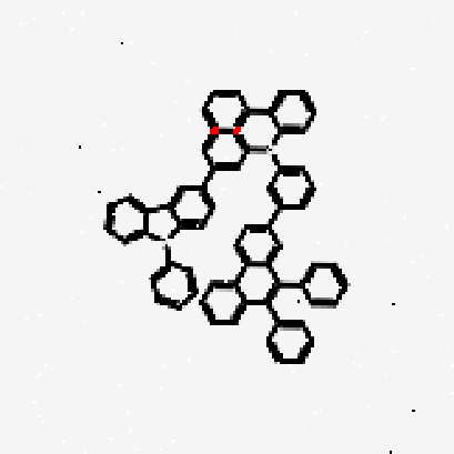 c1ccc(-c2ccccc2N(c2cccc(-c3ccc4c(c3)c(-c3ccccc3)c(-c3ccccc3)c3ccccc34)c2)c2cccc(-c3ccc4c(c3)c3ccccc3n4-c3ccccc3)c2)cc1